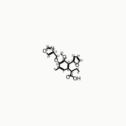 CCC(C(=O)O)c1cc(C)c(OCc2cocn2)c(OC)c1-c1ccco1